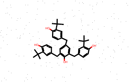 CC(C)(C)c1cc(Cc2cc(Cc3ccc(O)c(C(C)(C)C)c3)c(O)c(Cc3ccc(O)c(C(C)(C)C)c3)c2)ccc1O